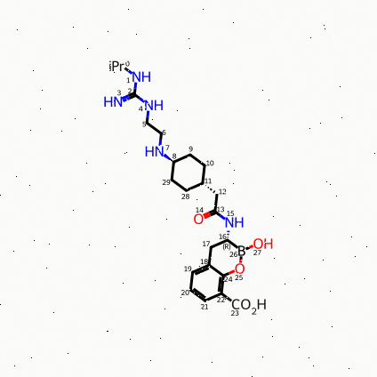 CC(C)NC(=N)NCCN[C@H]1CC[C@H](CC(=O)N[C@H]2Cc3cccc(C(=O)O)c3OB2O)CC1